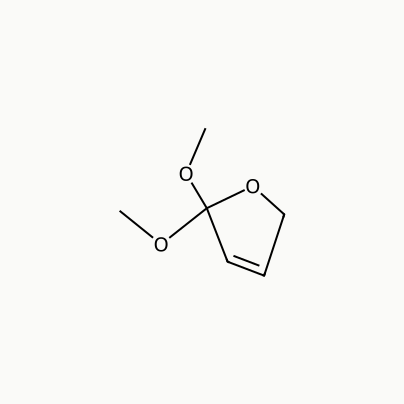 COC1(OC)C=CCO1